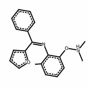 Cc1cccc(O[SiH](C)C)c1N=C(c1ccccc1)c1ccco1